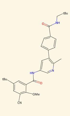 COc1c(C#N)cc(C(C)(C)C)cc1C(=O)Nc1cnc(C)c(-c2ccc(C(=O)NCC(C)(C)C)cc2)c1